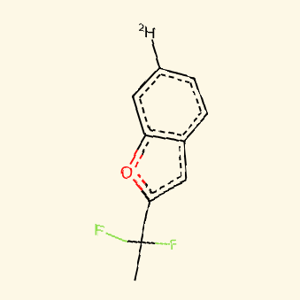 [2H]c1ccc2cc(C(C)(F)F)oc2c1